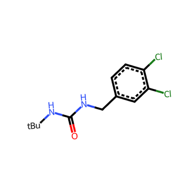 CC(C)(C)NC(=O)NCc1ccc(Cl)c(Cl)c1